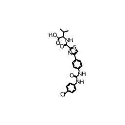 CC(C)C(NC(=O)c1nc(-c2ccc(NC(=O)Nc3ccc(Cl)cc3)cc2)cs1)C(=O)O